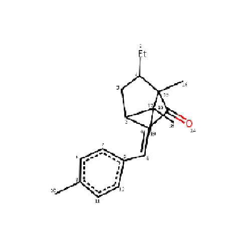 CCC1CC2/C(=C\c3ccc(C)cc3)C(=O)C1(C)C2(C)C